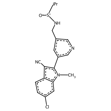 CC(C)[S+]([O-])NCc1cncc(-c2c(C#N)c3ccc(Cl)cc3n2C)c1